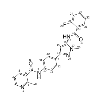 Cc1ncccc1C(=O)Nc1ccc(-c2cc(NC(=O)c3ccccc3F)n(C)n2)cc1